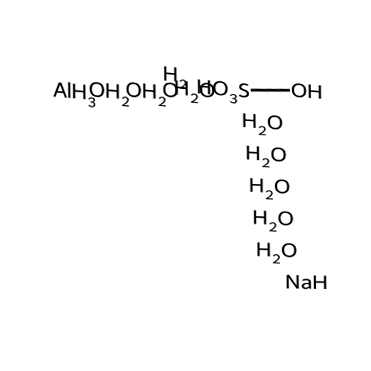 O.O.O.O.O.O.O.O.O.O=S(=O)(O)O.[AlH3].[NaH]